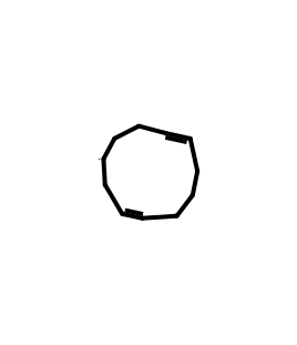 [CH]1CC=CCCCC=CCC1